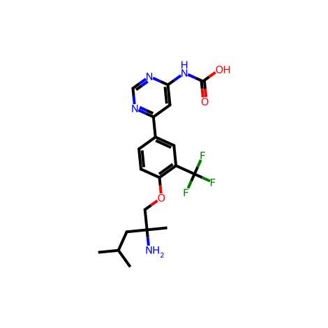 CC(C)CC(C)(N)COc1ccc(-c2cc(NC(=O)O)ncn2)cc1C(F)(F)F